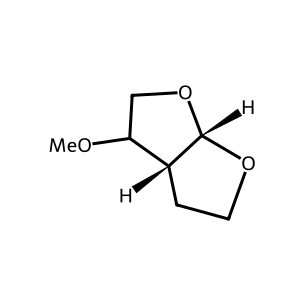 COC1CO[C@@H]2OCC[C@H]12